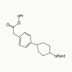 CCCCCC1CCC(c2ccc(CC(=O)OCCC)cc2)CC1